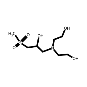 CS(=O)(=O)CC(O)CN(CCO)CCO